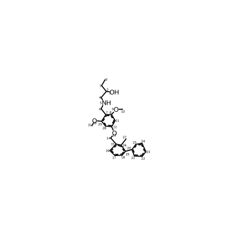 CCC(O)CNCc1c(OC)cc(OCc2cccc(-c3ccccc3)c2C)cc1OC